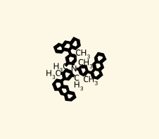 Cc1cc(N(c2cc(C)c(-c3cccc4cc5ccccc5cc34)cc2C)c2cc(C)c(-c3c4ccccc4cc4ccccc34)cc2C)c(C)cc1-c1cccc2cc3ccccc3cc12